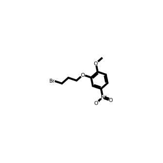 COc1ccc([N+](=O)[O-])cc1OCCCBr